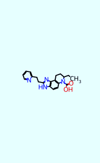 CCC1CCc2c(ccc3[nH]c(CCc4ccccn4)nc23)N1C(=O)O